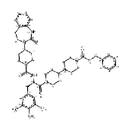 Nc1c(C(F)(F)F)cc(C[C@@H](NC(=O)N2CCC(N3CCc4ccccc4NC3=O)CC2)C(=O)N2CCC(N3CCN(C(=O)OCc4ccccc4)CC3)CC2)cc1C(F)(F)F